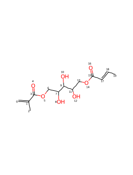 C=C(C)C(=O)OCC(O)C(O)C(O)COC(=O)C=CC